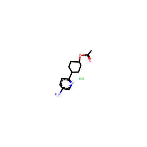 CC(=O)OC1CCC(c2ccc(N)cn2)CC1.Cl